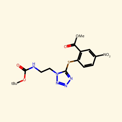 COC(=O)c1cc([N+](=O)[O-])ccc1Sc1nnnn1CCNC(=O)OC(C)(C)C